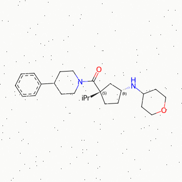 CC(C)[C@]1(C(=O)N2CCC(c3ccccc3)CC2)CC[C@@H](NC2CCOCC2)C1